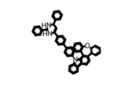 C1=CC2Oc3ccccc3-c3c(ccc4c5ccccc5n(-c5ccc(-c6ccc(C7=CC(c8ccccc8)NC(c8ccccc8)N7)cc6)cc5)c34)C2C=C1